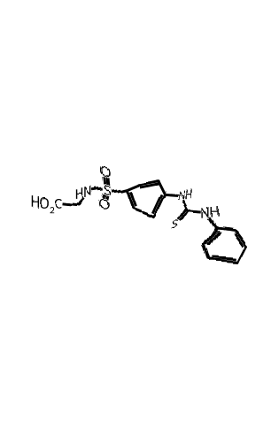 O=C(O)CNS(=O)(=O)c1ccc(NC(=S)Nc2ccccc2)cc1